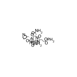 CN(CC(N)=O)C(=O)[C@H](Cc1cccnc1)NC(=O)[C@H](CC(N)=O)NC(=O)[C@@H](N)CCC(=O)OP